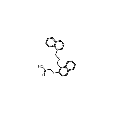 O=C(O)CCc1ccc2ccccc2c1CSCc1cccc2ccccc12